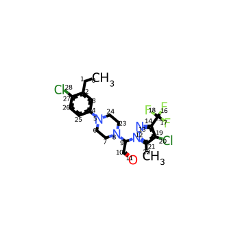 CCc1cc(N2CCN(C(C=O)n3nc(C(F)(F)F)c(Cl)c3C)CC2)ccc1Cl